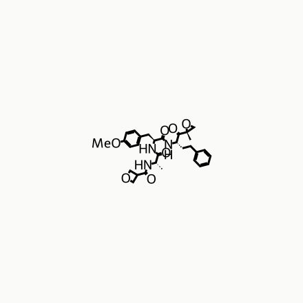 COc1ccc(C[C@H](NC(=O)[C@H](C)NC(=O)C2COC2)C(=O)N[C@@H](CCc2ccccc2)C(=O)[C@@]2(C)CO2)cc1